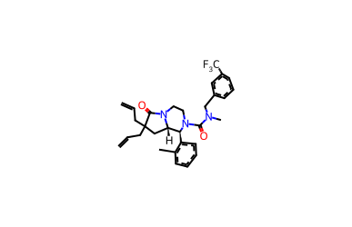 C=CCC1(CC=C)C[C@H]2[C@H](c3ccccc3C)N(C(=O)N(C)Cc3cccc(C(F)(F)F)c3)CCN2C1=O